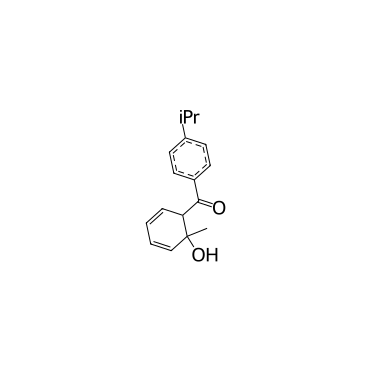 CC(C)c1ccc(C(=O)C2C=CC=CC2(C)O)cc1